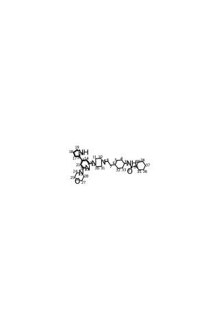 O=C(NC1CCC(CCN2CCN(c3cc(-c4ccc[nH]4)cc(N4CCOCC4)n3)CC2)CC1)C1CCCCC1